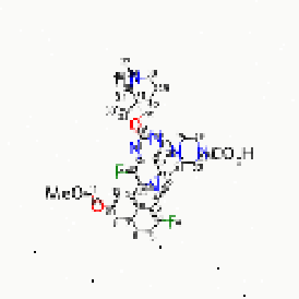 C#Cc1c(F)ccc2cc(OCOC)cc(-c3ncc4c(N5CCN(C(=O)O)CC5)nc(OC[C@]56CCC[C@H]5N(C)CCC6)nc4c3F)c12